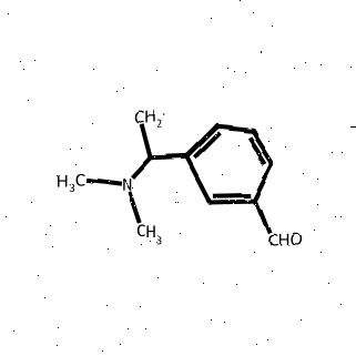 [CH2]C(c1cccc(C=O)c1)N(C)C